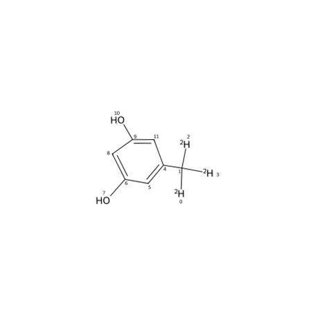 [2H]C([2H])([2H])c1cc(O)cc(O)c1